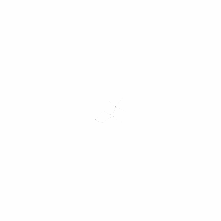 CC(C)(C)[N+]1([O-])CCC1